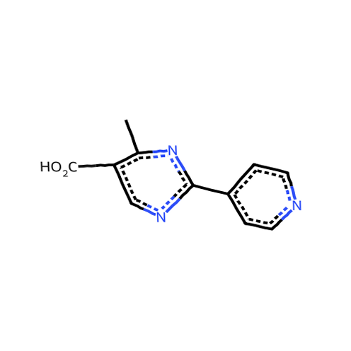 Cc1nc(-c2ccncc2)ncc1C(=O)O